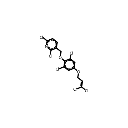 ClC(Cl)=CCOc1cc(Cl)c(OCc2ccc(Cl)nc2Cl)c(Cl)c1